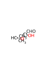 C#CC(C)(C)Oc1ccc(C=O)c(O)c1